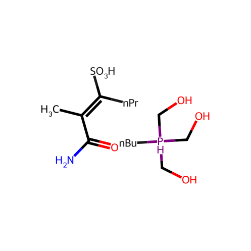 CCC/C(=C(/C)C(N)=O)S(=O)(=O)O.CCCC[PH](CO)(CO)CO